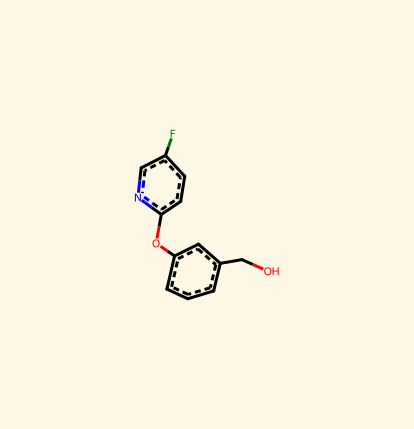 OCc1cccc(Oc2ccc(F)cn2)c1